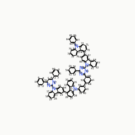 c1ccc(-c2cc(-c3ccccc3)nc(-n3c4ccccc4c4cc(-c5cccc6c5c5ccccc5n6-c5cccc(-c6cccc(-c7nc(-c8ccccc8)nc(-n8c9ccccc9c9cc(-c%10cccc%11c%10c%10ccccc%10n%11-c%10ccccc%10)ccc98)n7)c6)c5)ccc43)n2)cc1